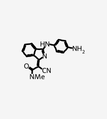 CNC(=O)C(C#N)=C1N=C(Nc2ccc(N)cc2)c2ccccc21